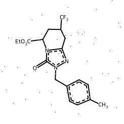 CCOC(=O)C1CC(C(F)(F)F)Cc2nn(Cc3ccc(C)cc3)c(=O)n21